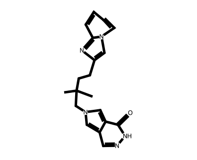 CC(C)(CCc1cn2ccccc2n1)Cn1cc2cn[nH]c(=O)c2c1